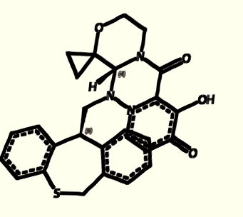 O=C1c2c(O)c(=O)ccn2N(C[C@H]2c3ccccc3CSc3ccccc32)[C@H]2N1CCOC21CC1